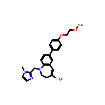 CCCCOCCOc1ccc(-c2ccc3c(c2)C=C(C(=O)O)CCN3Cc2nccn2C)cc1